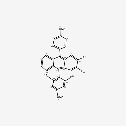 COc1ccc(-c2c3ccccc3c(-c3c(F)cc(OC)cc3F)c3cc(F)c(F)cc23)cc1